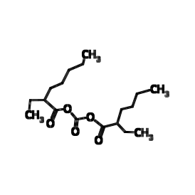 CCCCCC(CC)C(=O)OC(=O)OC(=O)C(CC)CCCC